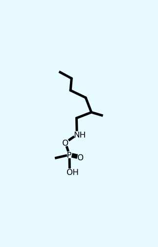 CCCCC(C)CNOP(C)(=O)O